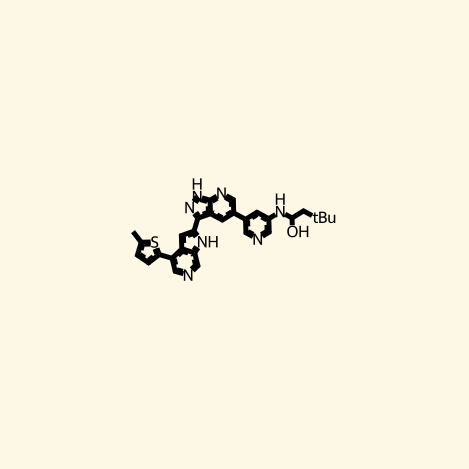 Cc1ccc(-c2cncc3[nH]c(-c4n[nH]c5ncc(-c6cncc(NC(O)CC(C)(C)C)c6)cc45)cc23)s1